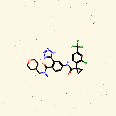 CN(CC1CCOCC1)C(=O)c1ccc(NC(=O)C2(c3ccc(C(F)(F)F)cc3F)CC2)cc1-c1nnn[nH]1